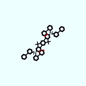 Cc1cc(N(c2cccc(-c3ccccc3)c2)c2ccccc2-c2ccccc2)cc2c1-c1cc3c(cc1C2(C)C)-c1c(C)cc(N(c2cccc(-c4ccccc4)c2)c2ccccc2-c2ccccc2)cc1C3(C)C